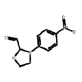 O=CC1OCCN1c1ccc([N+](=O)[O-])cc1